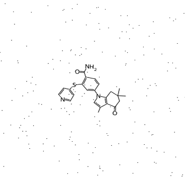 Cc1cn(-c2ccc(C(N)=O)c(Sc3ccncc3)c2)c2c1C(=O)CC(C)(C)C2